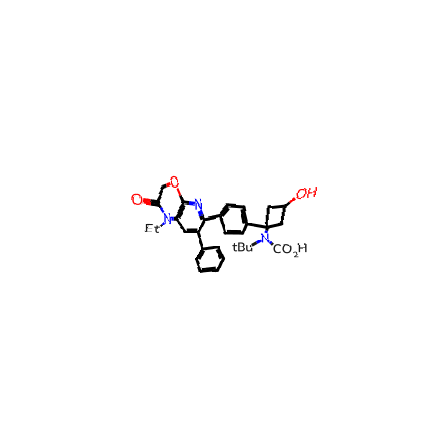 CCN1C(=O)COc2nc(-c3ccc(C4(N(C(=O)O)C(C)(C)C)CC(O)C4)cc3)c(-c3ccccc3)cc21